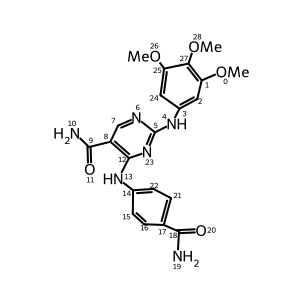 COc1cc(Nc2ncc(C(N)=O)c(Nc3ccc(C(N)=O)cc3)n2)cc(OC)c1OC